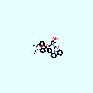 COc1cccc(C(OCC2CC(O)CN2C(=O)Cn2c3ccccc3c3ccccc32)(c2ccccc2)c2ccccc2)c1OC